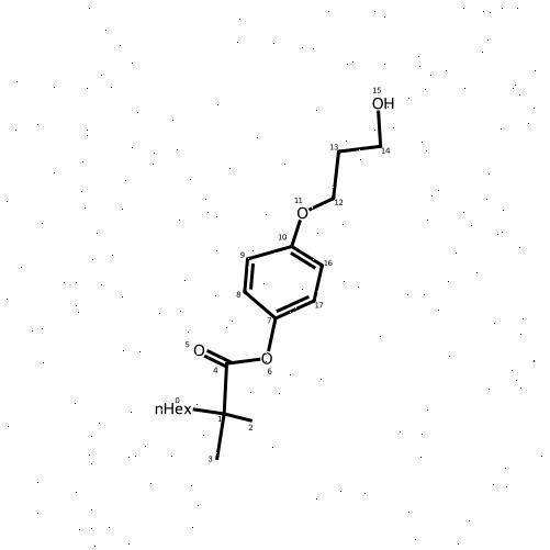 CCCCCCC(C)(C)C(=O)Oc1ccc(OCCCO)cc1